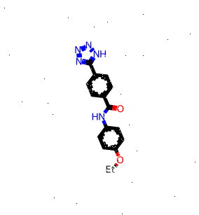 CCOc1ccc(NC(=O)c2ccc(-c3nnn[nH]3)cc2)cc1